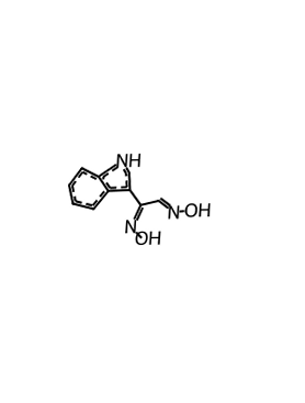 ON=CC(=NO)c1c[nH]c2ccccc12